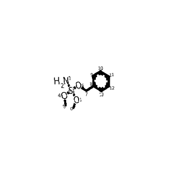 CO[Si](N)(OC)OCc1ccccc1